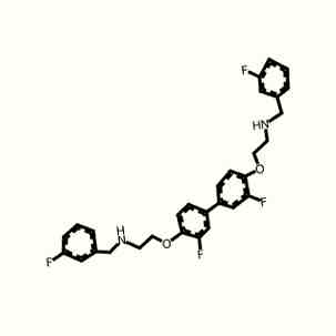 Fc1cccc(CNCCOc2ccc(-c3ccc(OCCNCc4cccc(F)c4)c(F)c3)cc2F)c1